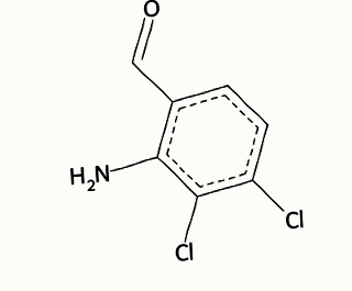 Nc1c(C=O)ccc(Cl)c1Cl